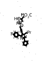 CC(C)c1nc(-c2ccccc2)nc(-c2ccc(F)cc2)c1C#CCO[PH](=O)CC(O)CC(=O)O